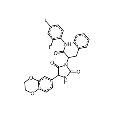 O=C(Nc1ccc(I)cc1F)C(Cc1ccccc1)N1C(=O)NC(c2ccc3c(c2)OCCO3)C1=O